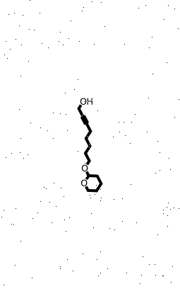 OCC#CCCCCCOC1CCCCO1